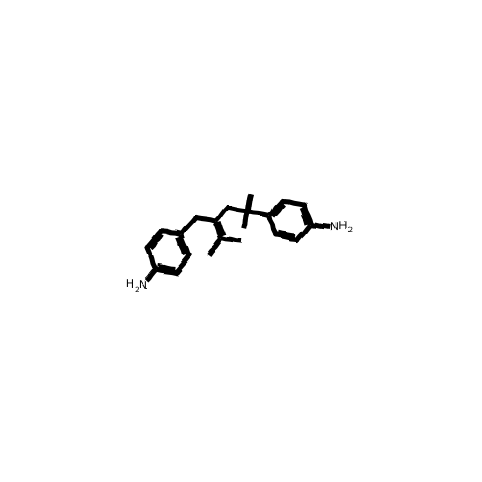 CC(C)=C(Cc1ccc(N)cc1)CC(C)(C)c1ccc(N)cc1